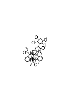 C=CC(=O)Nc1cc(Cn2c(=O)c(-c3c(Cl)c(OC)cc(OC)c3Cl)cc3cnc(Nc4ccccc4NC(=O)C=C)nc32)ccc1C